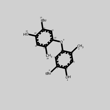 Cc1cc(O)c(C(C)(C)C)cc1Oc1cc(C(C)(C)C)c(O)cc1C